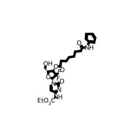 CCOC(=O)Nc1ccn([C@@H]2O[C@H](CO)[C@@H](OC(=O)CCCCCCC(=O)Nc3ccccc3)C2(F)F)c(=O)n1